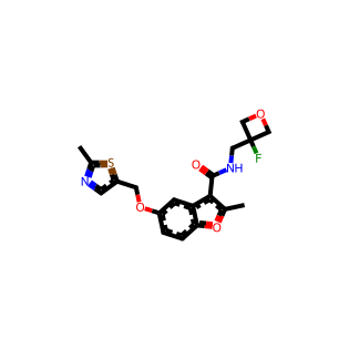 Cc1ncc(COc2ccc3oc(C)c(C(=O)NCC4(F)COC4)c3c2)s1